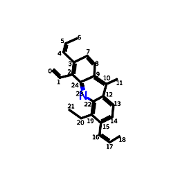 C=Cc1c(/C=C\C)ccc2c(C)c3ccc(/C=C\C)c(CC)c3nc12